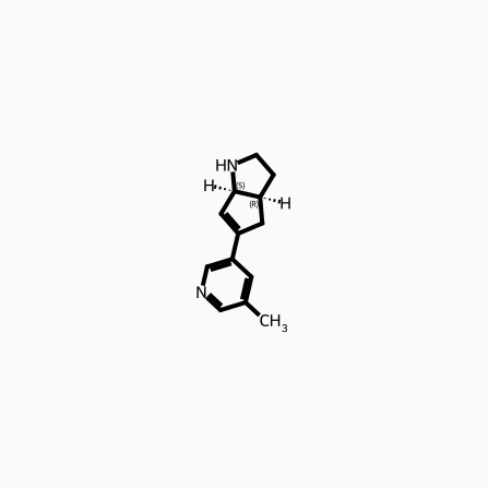 Cc1cncc(C2=C[C@H]3NCC[C@H]3C2)c1